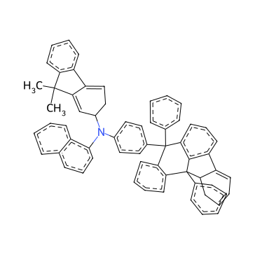 CC1(C)C2=CC(N(c3ccc(C4(c5ccccc5)c5ccccc5C5(c6ccccc6)c6c(cccc64)C4=CC=CCC45)cc3)c3cccc4ccccc34)CC=C2c2ccccc21